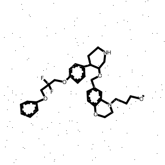 COCCCN1CCOc2ccc(COC3CNCCC3c3ccc(OCC(F)(F)COc4ccccc4)cc3)cc21